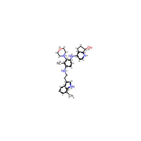 Cc1cccc2c(CCNc3ccc(Nc4ccnc5c4CCC5O)c(N4CCOCC4)c3C#N)c[nH]c12